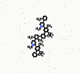 Cc1ccccc1-c1cc[n+](C)c(-c2cc(-c3cc(-c4ccc(C)c(-c5cc[n+](C)c(-c6cc(-c7ccccc7C)c(C)cc6C)c5)c4C)ccc3C)c(C)cc2C)c1